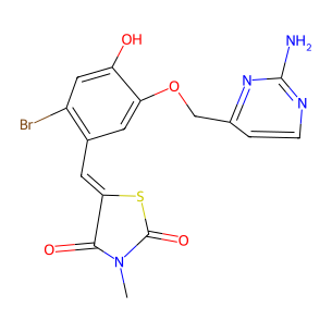 CN1C(=O)S/C(=C\c2cc(OCc3ccnc(N)n3)c(O)cc2Br)C1=O